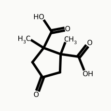 CC1(C(=O)O)CC(=O)CC1(C)C(=O)O